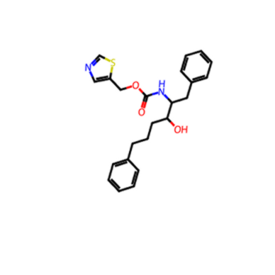 O=C(NC(Cc1ccccc1)C(O)CCCc1ccccc1)OCc1cncs1